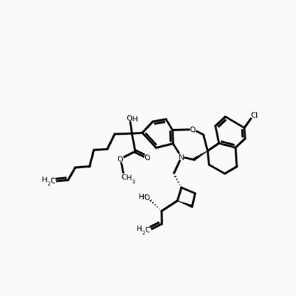 C=CCCCCCC(O)(C(=O)OC)c1ccc2c(c1)N(C[C@@H]1CC[C@H]1[C@@H](O)C=C)C[C@@]1(CCCc3cc(Cl)ccc31)CO2